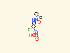 C[C@]1(N2CCN(c3cc4cc(NC(=O)[C@H]5CC[C@H]5c5ccccn5)ncc4cc3Cl)CC2)COC[C@H]1O